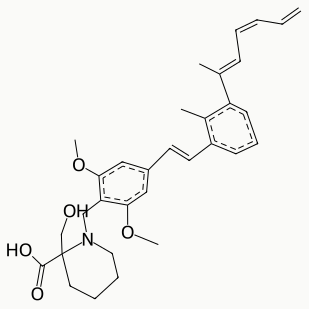 C=C/C=C\C=C(/C)c1cccc(/C=C/c2cc(OC)c(CN3CCCCC3(CO)C(=O)O)c(OC)c2)c1C